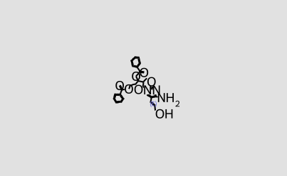 CC1C(OC(=O)c2ccccc2)C(COC(=O)c2ccccc2)OC1n1cc(/C=C/CO)c(N)nc1=O